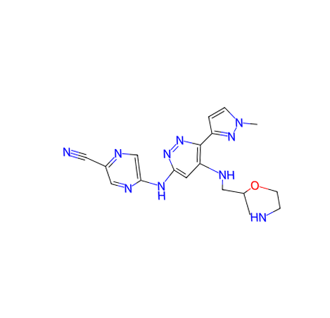 Cn1ccc(-c2nnc(Nc3cnc(C#N)cn3)cc2NCC2CNCCO2)n1